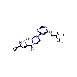 CC(C)COc1cc(N2CCN(C(=O)c3cc(C4CC4)nn3C)CC2)ncn1